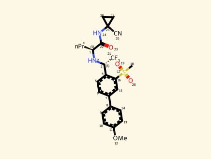 CCC[C@H](N[C@@H](c1ccc(-c2ccc(OC)cc2)cc1S(C)(=O)=O)C(F)(F)F)C(=O)NC1(C#N)CC1